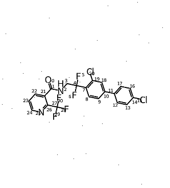 O=C(NCC(F)(F)c1ccc(-c2ccc(Cl)cc2)cc1Cl)c1cccnc1C(F)(F)F